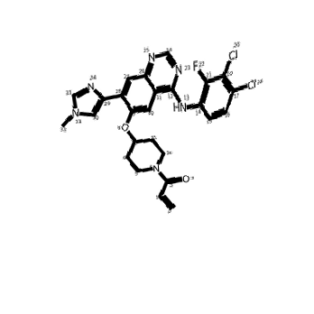 C=CC(=O)N1CCC(Oc2cc3c(Nc4ccc(Cl)c(Cl)c4F)ncnc3cc2-c2cn(C)cn2)CC1